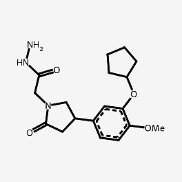 COc1ccc(C2CC(=O)N(CC(=O)NN)C2)cc1OC1CCCC1